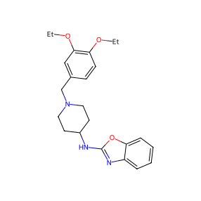 CCOc1ccc(CN2CCC(Nc3nc4ccccc4o3)CC2)cc1OCC